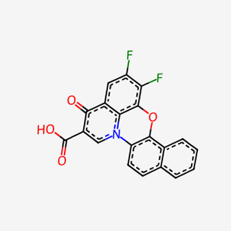 O=C(O)c1cn2c3c(c(F)c(F)cc3c1=O)Oc1c-2ccc2ccccc12